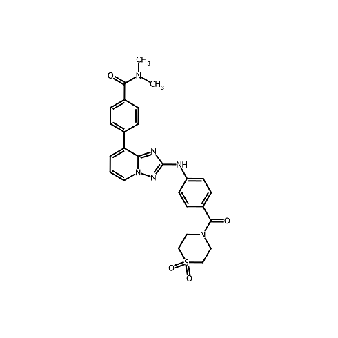 CN(C)C(=O)c1ccc(-c2cccn3nc(Nc4ccc(C(=O)N5CCS(=O)(=O)CC5)cc4)nc23)cc1